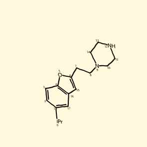 CC(C)c1ccc2oc(CCN3CCNCC3)cc2c1